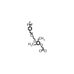 CCc1cc(OCC=C(Cl)Cl)cc(CC)c1OCCCO/N=C/c1ccc(C(F)(F)F)cc1